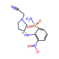 N#CCN1CC[C@@H](Nc2c([N+](=O)[O-])cccc2S(N)(=O)=O)C1